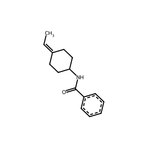 CC=C1CCC(NC(=O)c2ccccc2)CC1